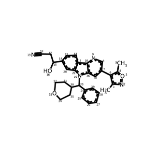 Cc1noc(C)c1-c1cnc2c3ccc(C(O)CC#N)cc3n(C(c3ccccc3)C3CCOCC3)c2c1